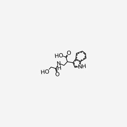 O=C(CO)NCC(C(=O)O)c1c[nH]c2ccccc12